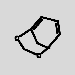 C1=C[C]2CC(=C1)OCO2